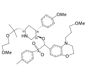 COCCCN1CCOc2ccc(C(O[C@H]3CN[C@H](CC(C)(C)OCCOC)C[C@@H]3c3ccc(OC)cc3)S(=O)(=O)c3ccc(C)cc3)cc21